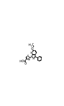 CCOc1ccc2c(-c3ccccc3)nn(-c3nc(C(=O)O)cs3)c2n1